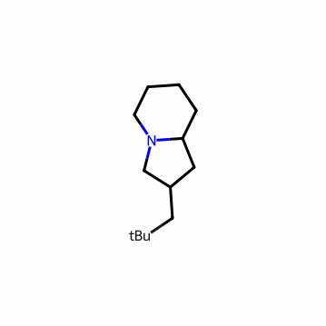 CC(C)(C)CC1CC2CCCCN2C1